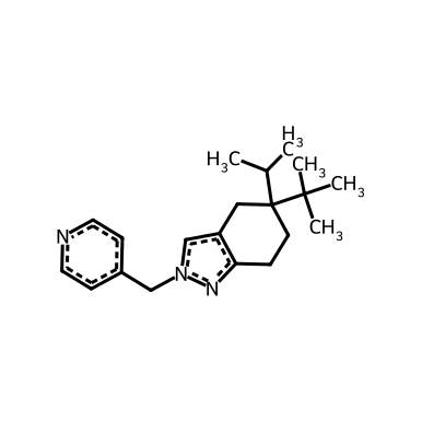 CC(C)C1(C(C)(C)C)CCc2nn(Cc3ccncc3)cc2C1